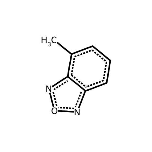 Cc1cccc2nonc12